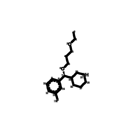 CCOCCCO[C@@H](c1cccc(F)c1)C1CCCNC1